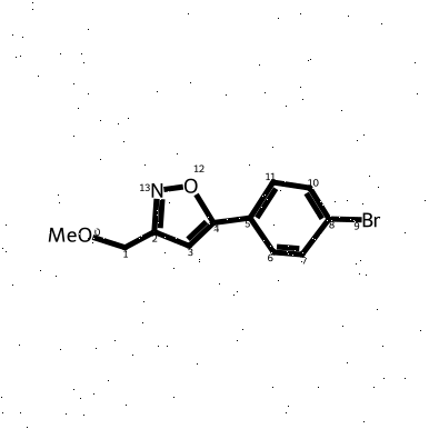 COCc1cc(-c2ccc(Br)cc2)on1